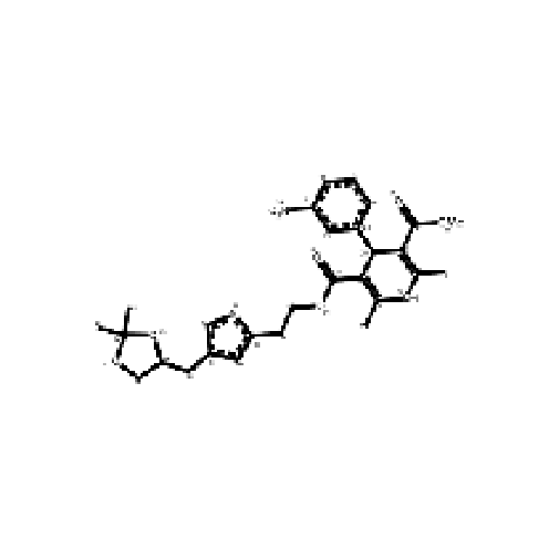 COC(=O)C1=C(C)NC(C)=C(C(=O)OCCc2cc(CC3COC(C)(C)O3)cs2)C1c1cccc([N+](=O)[O-])c1